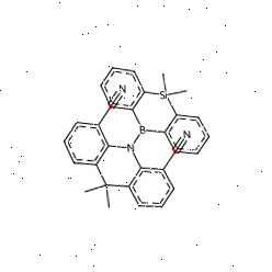 CC1(C)c2cccc(C#N)c2N(B2c3ccccc3[Si](C)(C)c3ccccc32)c2c(C#N)cccc21